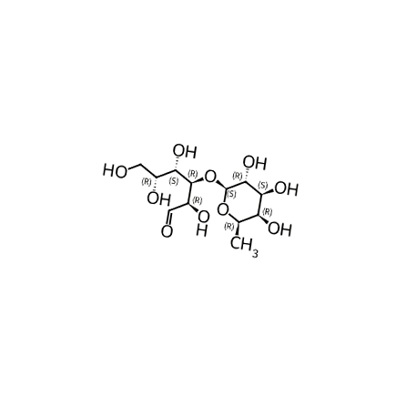 C[C@H]1O[C@@H](O[C@H]([C@@H](O)[C@H](O)CO)[C@@H](O)C=O)[C@H](O)[C@@H](O)[C@H]1O